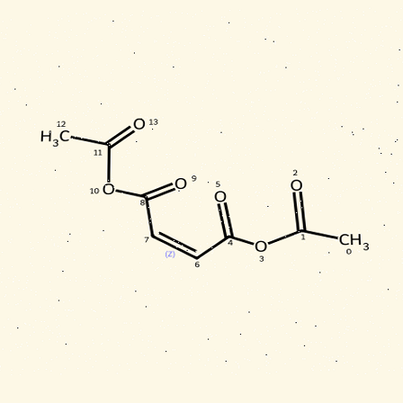 CC(=O)OC(=O)/C=C\C(=O)OC(C)=O